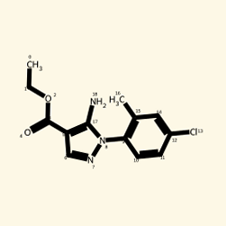 CCOC(=O)c1cnn(-c2ccc(Cl)cc2C)c1N